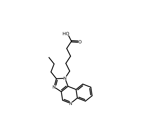 CCCc1nc2cnc3ccccc3c2n1CCCCC(=O)O